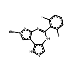 CC(C)(C)n1cc2c(n1)N=C(c1c(F)cccc1F)Nc1cn[nH]c1-2